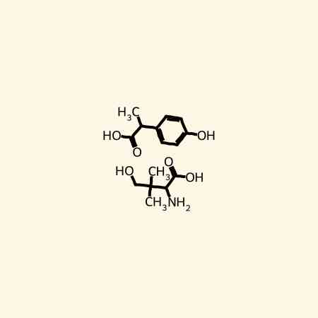 CC(C(=O)O)c1ccc(O)cc1.CC(C)(CO)C(N)C(=O)O